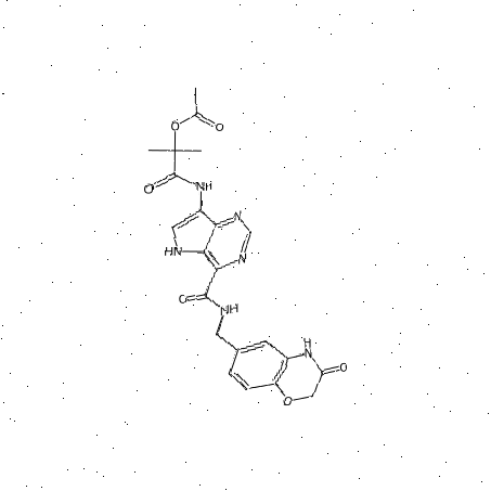 CC(=O)OC(C)(C)C(=O)Nc1c[nH]c2c(C(=O)NCc3ccc4c(c3)NC(=O)CO4)ncnc12